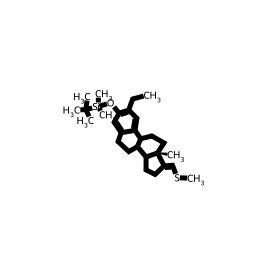 CCc1cc2c(cc1O[Si](C)(C)C(C)(C)C)CCC1C2CC[C@]2(C)C(=CSC)CCC12